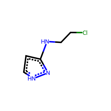 ClCCNc1cc[nH]n1